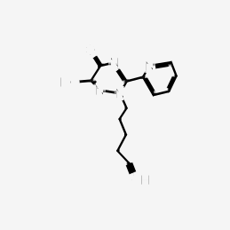 C#CCCCCn1nc(C)c(=O)nc1-c1ccccn1